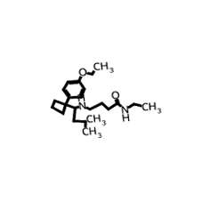 CCNC(=O)CCCNC(CC(C)C)C1(c2ccc(OCC)cc2)CCC1